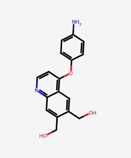 Nc1ccc(Oc2ccnc3cc(CO)c(CO)cc23)cc1